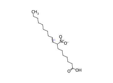 CCCCCCCC/C=C/C(CCCCCCC(=O)O)[N+](=O)[O-]